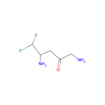 NCC(=O)CC(N)C(F)F